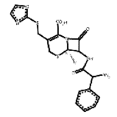 NC(C(=O)NC1C(=O)N2C(C(=O)O)=C(CSc3ncco3)CS[C@H]12)c1ccccc1